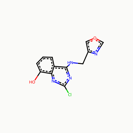 Oc1cccc2c(NCc3cocn3)nc(Cl)nc12